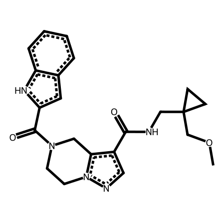 COCC1(CNC(=O)c2cnn3c2CN(C(=O)c2cc4ccccc4[nH]2)CC3)CC1